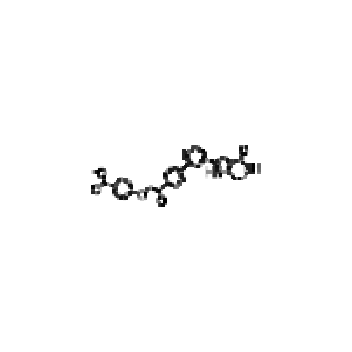 COC(=O)c1ccc(OCC(=O)c2ccc(-c3cc(-c4cc5c([nH]4)CCNC5=O)ccn3)cc2)cc1